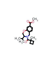 COC(=O)c1ccc2c(c1)OCC(C(C)C)N(C(=O)C1(C)CCC1)C2